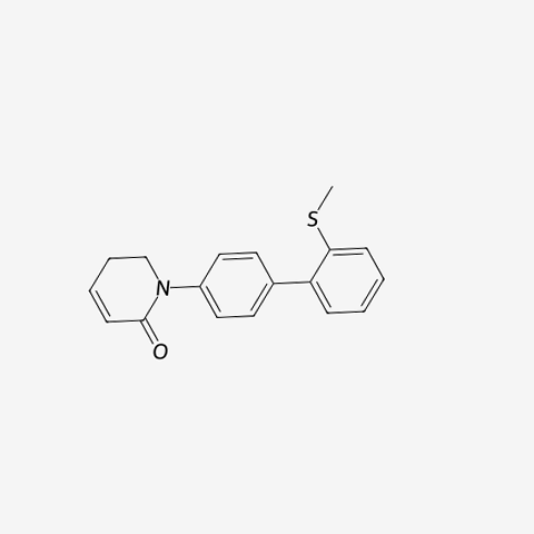 CSc1ccccc1-c1ccc(N2CCC=CC2=O)cc1